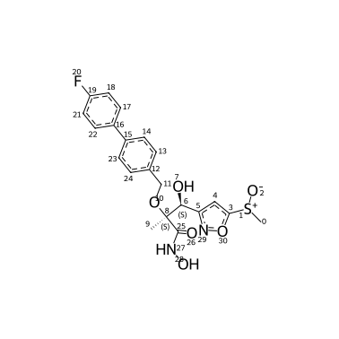 C[S+]([O-])c1cc([C@H](O)[C@](C)(OCc2ccc(-c3ccc(F)cc3)cc2)C(=O)NO)no1